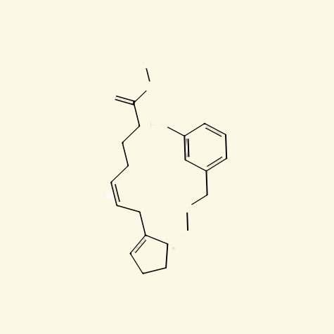 COC(=O)CCC/C=C\CC1=CCC[C@H]1COCc1cccc(C)c1